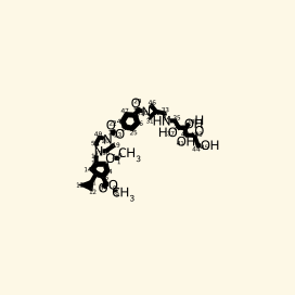 CCOc1cc(C(=O)OC)c(C2CC2)cc1CN1CCN(C(=O)Oc2ccc(C(=O)N3CC(CNCC(O)C(O)C(O)C(O)CO)C3)cc2)CC1